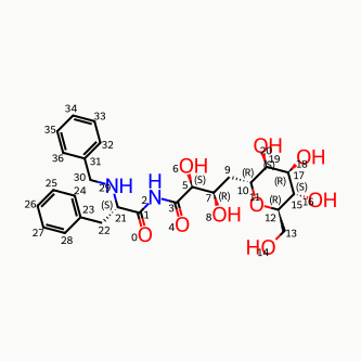 O=C(NC(=O)[C@@H](O)[C@H](O)C[C@H]1O[C@H](CO)[C@@H](O)[C@H](O)[C@@H]1O)[C@H](Cc1ccccc1)NCc1ccccc1